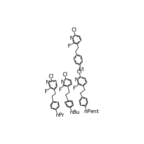 CCCCCc1ccc(CCc2ccc(Cl)nc2F)cc1.CCCCc1ccc(CCc2ccc(Cl)nc2F)cc1.CCCc1ccc(CCc2ccc(Cl)nc2F)cc1.CCc1ccc(CCc2ccc(Cl)nc2F)cc1